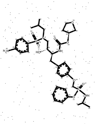 CC(C)CN(C[C@@H](O)[C@H](Cc1ccc(OCP(=O)(NC(C)C)Oc2ccccc2)cc1)NC(=O)O[C@H]1CCOC1)S(=O)(=O)c1ccc(N)cc1